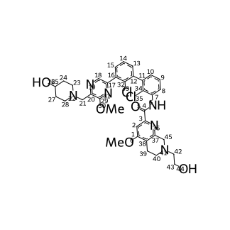 COc1cc(C(=O)Nc2cccc(-c3cccc(-c4cnc(CN5CCC(O)CC5)c(OC)n4)c3Cl)c2Cl)nc2c1CCN(CCO)C2